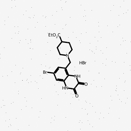 Br.CCOC(=O)C1CCN(Cc2cc(Br)cc3[nH]c(=O)c(=O)[nH]c23)CC1